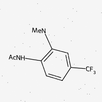 CNc1cc(C(F)(F)F)ccc1NC(C)=O